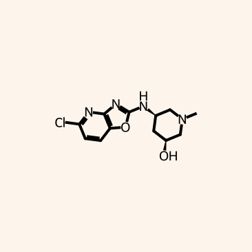 CN1C[C@@H](O)C[C@@H](Nc2nc3nc(Cl)ccc3o2)C1